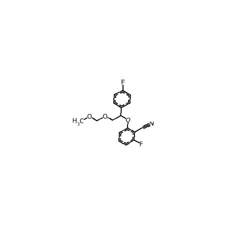 COCOCC(Oc1cccc(F)c1C#N)c1ccc(F)cc1